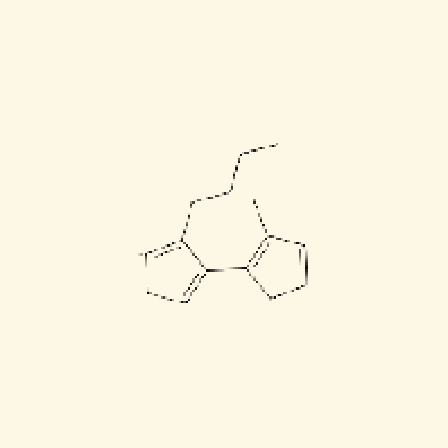 CCCCC1=[C]CC=C1C1=C(C)C=CC1